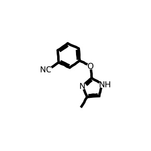 Cc1c[nH]c(Oc2cccc(C#N)c2)n1